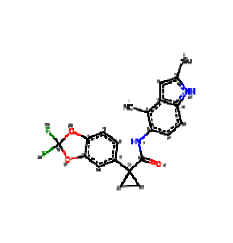 CC(C)(C)c1cc2c(C#N)c(NC(=O)C3(c4ccc5c(c4)OC(F)(F)O5)CC3)ccc2[nH]1